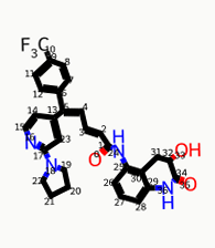 O=C(/C=C/C=C(/c1ccc(C(F)(F)F)cc1)c1ccnc(N2CCCC2)c1)Nc1cccc2c1CC(O)C(=O)N2